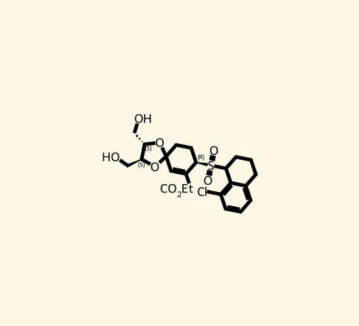 CCOC(=O)C1=CC2(CC[C@H]1S(=O)(=O)C1CCCc3cccc(Cl)c31)O[C@@H](CO)[C@H](CO)O2